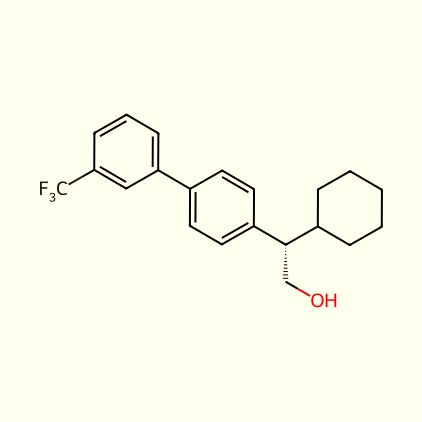 OC[C@H](c1ccc(-c2cccc(C(F)(F)F)c2)cc1)C1CCCCC1